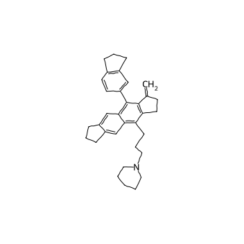 C=C1CCc2c1c(-c1ccc3c(c1)CCC3)c1cc3c(cc1c2CCCN1CCCCC1)CCC3